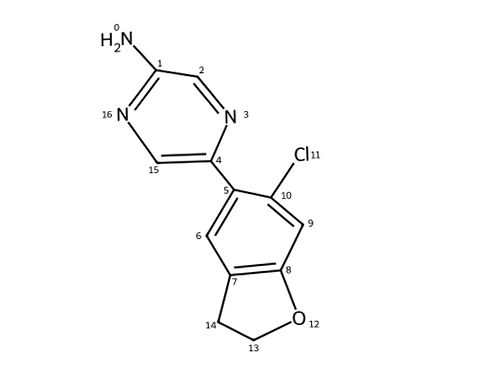 Nc1cnc(-c2cc3c(cc2Cl)OCC3)cn1